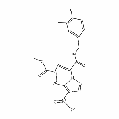 COC(=O)c1cc(C(=O)NCc2ccc(F)c(C)c2)n2ncc([N+](=O)[O-])c2n1